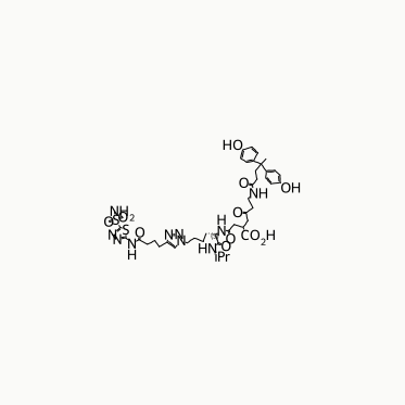 CC(C)NC(=O)[C@H](CCCCn1cc(CCCC(=O)Nc2nnc(S(N)(=O)=O)s2)nn1)NC(=O)CC(CC(=O)CCNC(=O)CCC(C)(c1ccc(O)cc1)c1ccc(O)cc1)C(=O)O